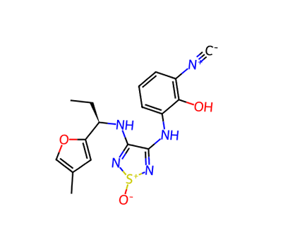 [C-]#[N+]c1cccc(Nc2n[s+]([O-])nc2N[C@H](CC)c2cc(C)co2)c1O